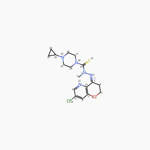 CN(/N=C1/CCOc2cc(Cl)cnc21)C(=S)N1CCN(C2CC2)CC1